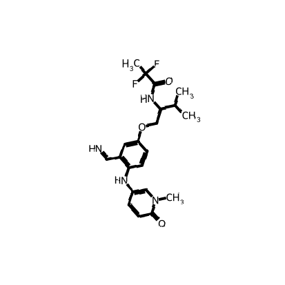 CC(C)C(COc1ccc(Nc2ccc(=O)n(C)c2)c(C=N)c1)NC(=O)C(C)(F)F